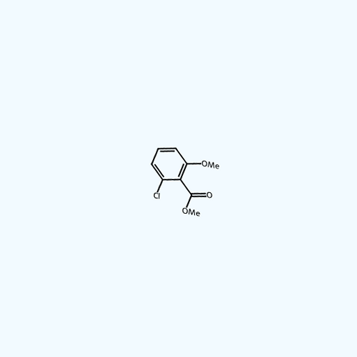 COC(=O)c1c(Cl)cccc1OC